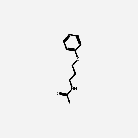 CC(=O)NCCCSc1ccccc1